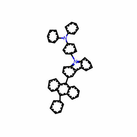 c1ccc(-c2c3ccccc3c(-c3ccc4c(c3)c3ccccc3n4-c3ccc(N(c4ccccc4)c4ccccc4)cc3)c3ccccc23)cc1